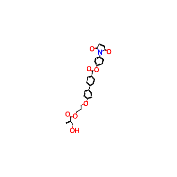 C=C(CO)C(=O)OCCCOc1ccc(-c2ccc(C(=O)Oc3ccc(N4C(=O)C=CC4=O)cc3)cc2)cc1